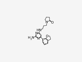 Nc1nc(NCCCN2CCCC2=O)cc(-c2cccc3c2OCC3)n1